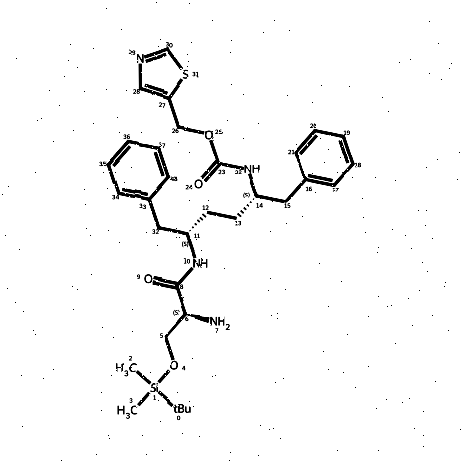 CC(C)(C)[Si](C)(C)OC[C@H](N)C(=O)N[C@@H](CC[C@@H](Cc1ccccc1)NC(=O)OCc1cncs1)Cc1ccccc1